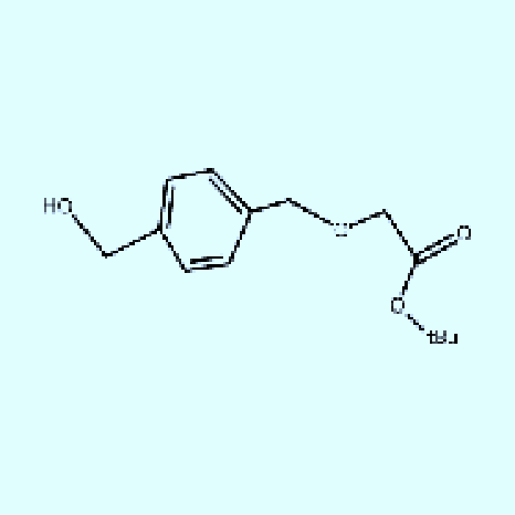 CC(C)(C)OC(=O)COCc1ccc(CO)cc1